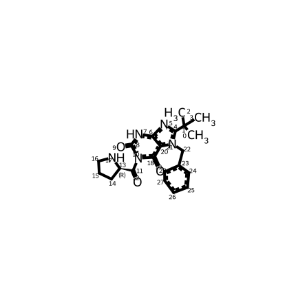 CC(C)(C)c1nc2[nH]c(=O)n(C(=O)[C@H]3CCCN3)c(=O)c2n1Cc1ccccc1